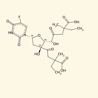 CCC(C)(CC(=O)C(O)[C@H]1O[C@@H](n2cc(F)c(=O)[nH]c2=O)C[C@@]1(O)C(=O)CC(C)(CC)C(=O)O)C(=O)O